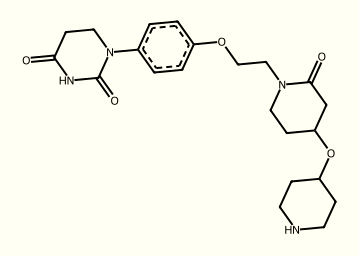 O=C1CCN(c2ccc(OCCN3CCC(OC4CCNCC4)CC3=O)cc2)C(=O)N1